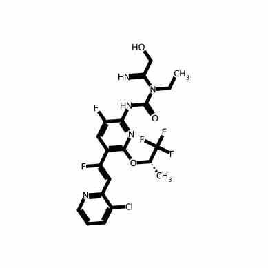 CCN(C(=N)CO)C(=O)Nc1nc(O[C@@H](C)C(F)(F)F)c(/C(F)=C/c2ncccc2Cl)cc1F